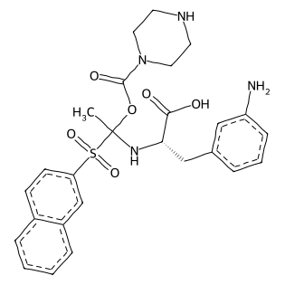 CC(N[C@@H](Cc1cccc(N)c1)C(=O)O)(OC(=O)N1CCNCC1)S(=O)(=O)c1ccc2ccccc2c1